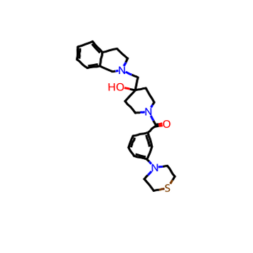 O=C(c1cccc(N2CCSCC2)c1)N1CCC(O)(CN2CCc3ccccc3C2)CC1